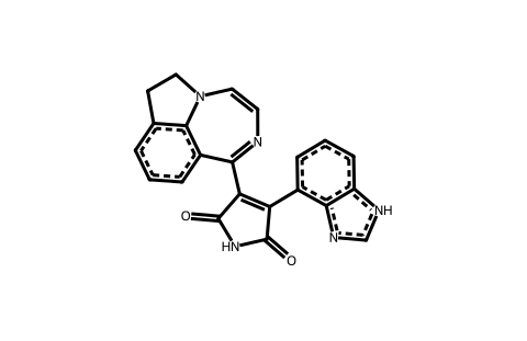 O=C1NC(=O)C(c2cccc3[nH]cnc23)=C1C1=NC=CN2CCc3cccc1c32